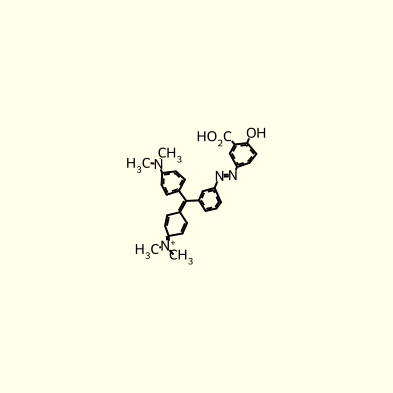 CN(C)c1ccc(C(=C2C=CC(=[N+](C)C)C=C2)c2cccc(N=Nc3ccc(O)c(C(=O)O)c3)c2)cc1